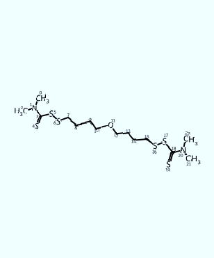 CN(C)C(=S)SSCCCCOCCCCSSC(=S)N(C)C